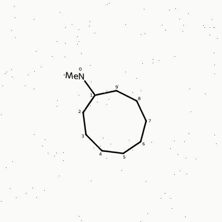 C[N]C1CCCCCCCC1